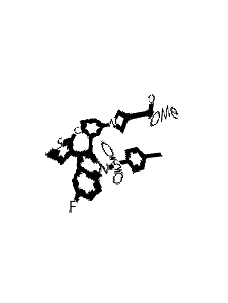 COC(=O)C1CN(c2cccc(-c3c(-c4ccsc4C(F)(F)F)c4cc(F)ccc4n3S(=O)(=O)c3ccc(C)cc3)c2)C1